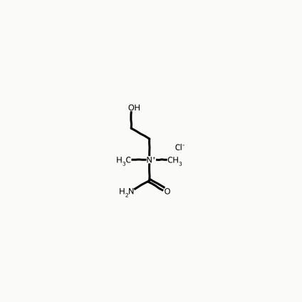 C[N+](C)(CCO)C(N)=O.[Cl-]